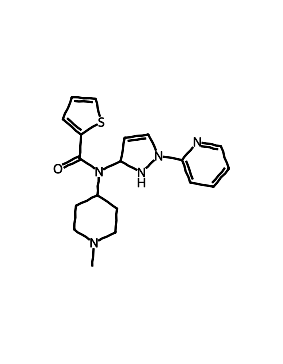 CN1CCC(N(C(=O)c2cccs2)C2C=CN(c3ccccn3)N2)CC1